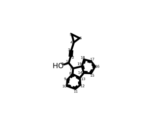 OC(C#CC1CC1)C1c2ccccc2-c2ccccc21